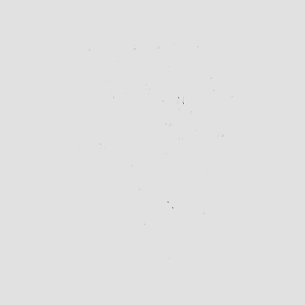 c1ccc(-n2c3ccccc3c3c4c(ccc32)-c2cc([Si]3(c5ccccc5)c5ccccc5-c5ccccc53)cc(-n3c5ccccc5c5ccccc53)c2C4)cc1